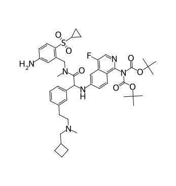 CN(CCc1cccc(C(Nc2ccc3c(N(C(=O)OC(C)(C)C)C(=O)OC(C)(C)C)ncc(F)c3c2)C(=O)N(C)Cc2cc(N)ccc2S(=O)(=O)C2CC2)c1)CC1CCC1